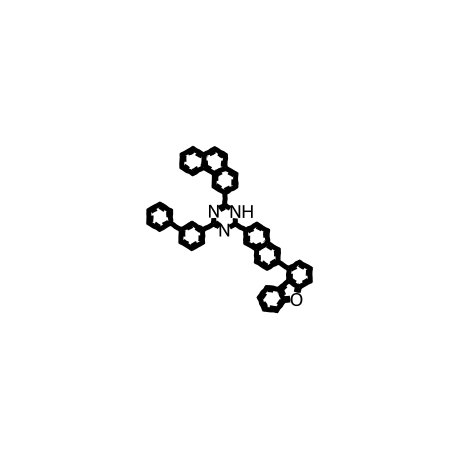 c1ccc(-c2cccc(C3=NC(c4ccc5cc(-c6cccc7oc8ccccc8c67)ccc5c4)NC(c4ccc5ccc6ccccc6c5c4)=N3)c2)cc1